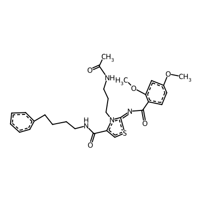 COc1ccc(C(=O)/N=c2\scc(C(=O)NCCCCc3ccccc3)n2CCCNC(C)=O)c(OC)c1